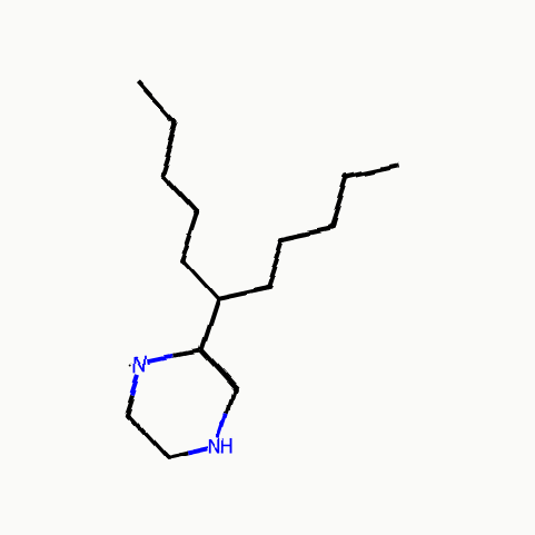 CCCCCC(CCCCC)C1CNCC[N]1